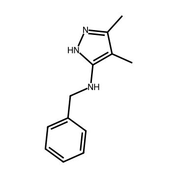 Cc1n[nH]c(NCc2ccccc2)c1C